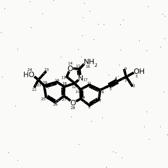 CC(C)(O)C#Cc1ccc2c(c1)C1(COC(N)=N1)c1cc(C(C)(C)O)ccc1O2